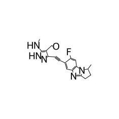 CNc1[nH]nc(C#Cc2cc3nc4n(c3cc2F)C(C)CC4)c1C=O